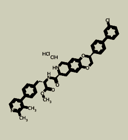 COC(=O)[C@H](Cc1ccc(-c2ccnc(C)c2C)cc1)NC(=O)[C@@H]1Cc2cc3c(cc2CN1)O[C@@H](c1ccc(-c2cccc(Cl)c2)cc1)CO3.Cl.Cl